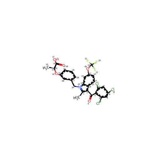 Cc1c(C(=O)c2c(Cl)cc(Cl)cc2Cl)c2ccc(OC(F)(F)F)cc2n1Cc1cccc(O[C@@H](C)C(=O)O)c1